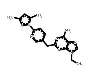 CCn1cnc2c(N)nc(Cc3ccc(-n4nc(C)cc4C)nc3)nc21